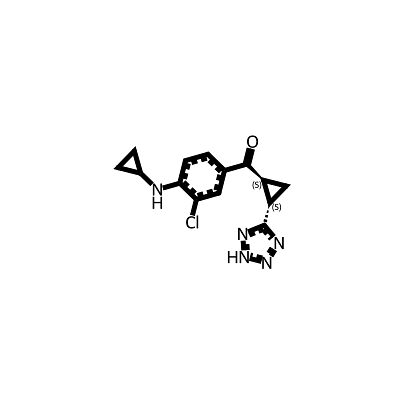 O=C(c1ccc(NC2CC2)c(Cl)c1)[C@H]1C[C@@H]1c1nn[nH]n1